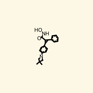 CC1(C)CN(c2ccc(C3C(C(=O)NO)C3c3ccccc3)cc2)C1